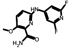 COc1ccc(Nc2cc(F)nc(F)c2)nc1C(N)=O